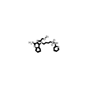 CCOCc1nc2c(N)nc3ccccc3c2n1CCCCS(=O)(=O)Nc1ccccn1